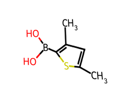 Cc1cc(C)c(B(O)O)s1